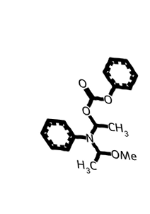 COC(C)N(c1ccccc1)C(C)OC(=O)Oc1ccccc1